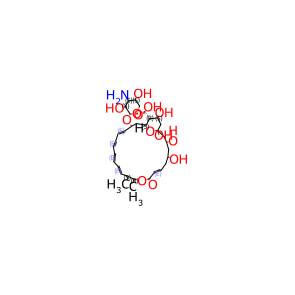 C[C@H]1/C=C/C=C/C=C/C=C/C(OC2OC[C@@H](O)[C@H](N)[C@@H]2O)C[C@@H]2OC(O)(CC(O)CC(O)C/C=C/C(=O)O[C@@H]1C)C[C@H](O)[C@H]2C(=O)O